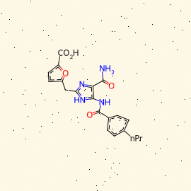 CCCc1ccc(C(=O)Nc2[nH]c(Cc3ccc(C(=O)O)o3)nc2C(N)=O)cc1